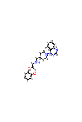 c1ccc2c(c1)OCC(CNCC1CCN(c3ncnc4ccccc34)CC1)O2